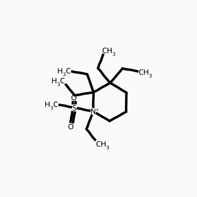 CCC1(CC)CCC[N+](CC)(S(C)(=O)=O)C1(CC)CC